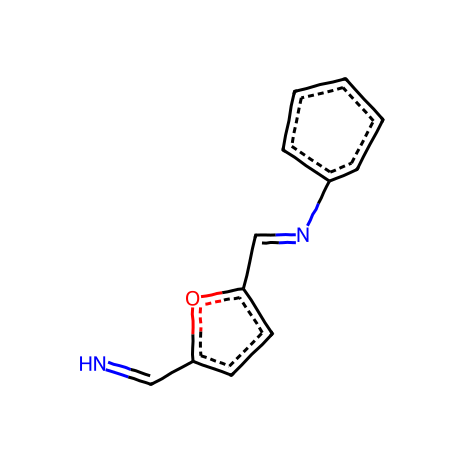 N=Cc1ccc(C=Nc2ccccc2)o1